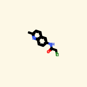 Cc1ccc2cc(NC(=O)CCl)ccc2n1